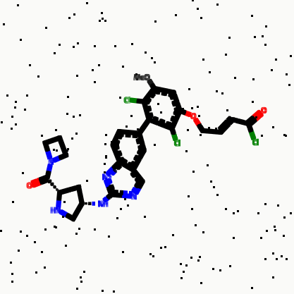 COc1cc(OC/C=C/C(=O)Cl)c(Cl)c(-c2ccc3nc(N[C@@H]4CN[C@H](C(=O)N5CCC5)C4)ncc3c2)c1Cl